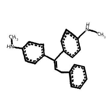 CNc1ccc(C(=Cc2ccccc2)c2ccc(NC)cc2)cc1